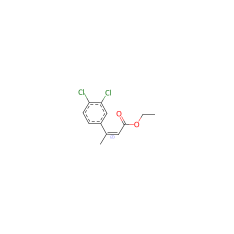 CCOC(=O)/C=C(/C)c1ccc(Cl)c(Cl)c1